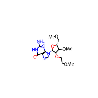 COCCOC1C(OC)[C@@H](COC)O[C@H]1n1cnc2c(=O)[nH]c(N)nc21